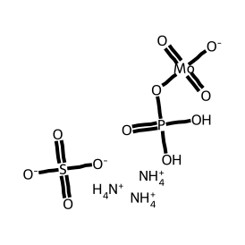 O=P(O)(O)[O][Mo](=[O])(=[O])[O-].O=S(=O)([O-])[O-].[NH4+].[NH4+].[NH4+]